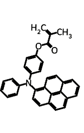 C=C(C)C(=O)Oc1ccc(N(c2ccccc2)c2ccc3ccc4cccc5ccc2c3c45)cc1